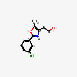 Cc1oc(-c2cccc(Cl)c2)nc1CCO